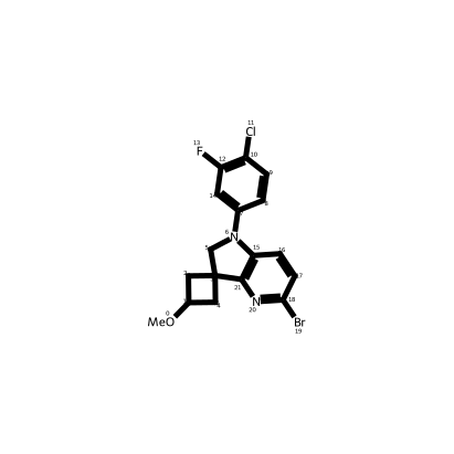 COC1CC2(C1)CN(c1ccc(Cl)c(F)c1)c1ccc(Br)nc12